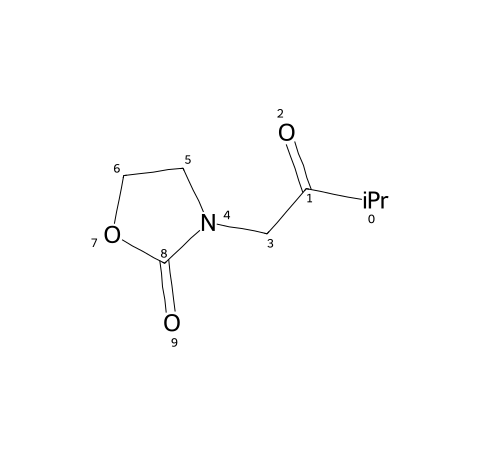 CC(C)C(=O)CN1CCOC1=O